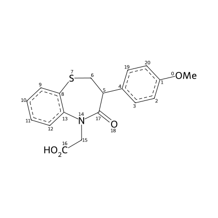 COc1ccc(C2CSc3ccccc3N(CC(=O)O)C2=O)cc1